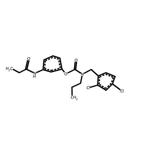 CCCN(Cc1ccc(Cl)cc1Cl)C(=O)Oc1cccc(NC(=O)CC)c1